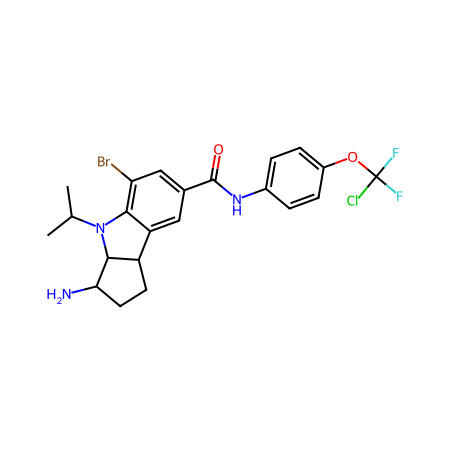 CC(C)N1c2c(Br)cc(C(=O)Nc3ccc(OC(F)(F)Cl)cc3)cc2C2CCC(N)C21